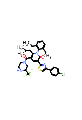 CCc1cccc(CC)c1-n1c(CC(C)C)c(C(=O)N2CCNC(C(F)(F)F)C2)cc(-c2nc(-c3ccc(Cl)cc3)cs2)c1=O